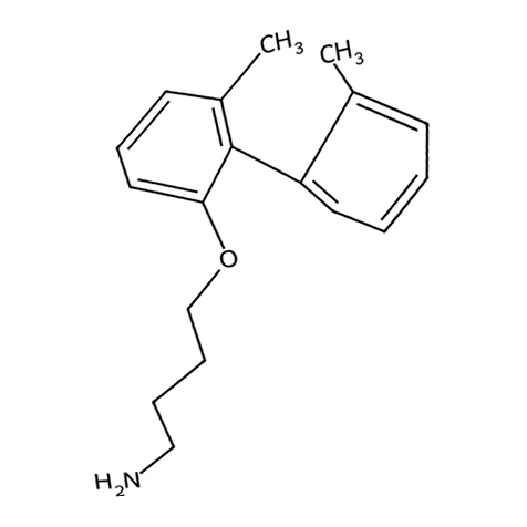 Cc1ccccc1-c1c(C)cccc1OCCCCN